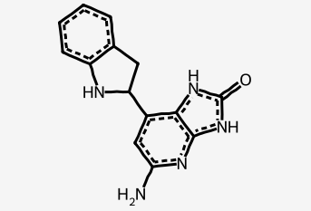 Nc1cc(C2Cc3ccccc3N2)c2[nH]c(=O)[nH]c2n1